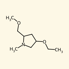 CCOC1CC(COC)N(C)C1